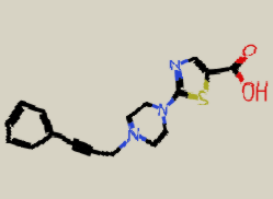 O=C(O)c1cnc(N2CCN(CC#Cc3ccccc3)CC2)s1